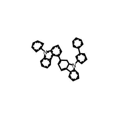 C1=C(c2cccc3c2c2ccccc2n3-c2ccccc2)CC2C(=C1)c1ccccc1N2c1cccc(-c2ccccc2)c1